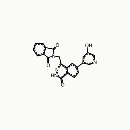 O=C1c2ccccc2C(=O)N1Cc1n[nH]c(=O)c2ccc(-c3cncc(O)c3)cc12